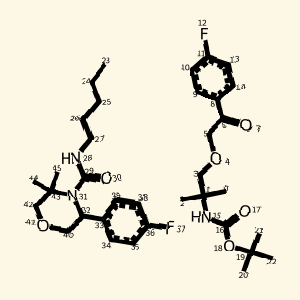 CC(C)(COCC(=O)c1ccc(F)cc1)NC(=O)OC(C)(C)C.CCCCCNC(=O)N1C(c2ccc(F)cc2)COCC1(C)C